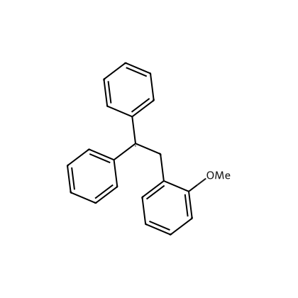 COc1ccccc1C[C](c1ccccc1)c1ccccc1